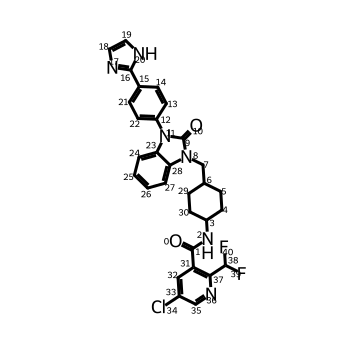 O=C(NC1CCC(Cn2c(=O)n(-c3ccc(-c4ncc[nH]4)cc3)c3ccccc32)CC1)c1cc(Cl)cnc1C(F)F